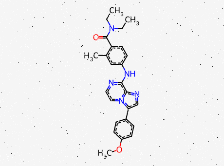 CCN(CC)C(=O)c1ccc(Nc2nccn3c(-c4ccc(OC)cc4)cnc23)cc1C